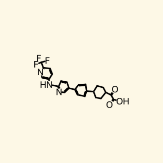 O=C(O)C(=O)C1CCC(c2ccc(-c3ccc(Nc4ccc(C(F)(F)F)nc4)nc3)cc2)CC1